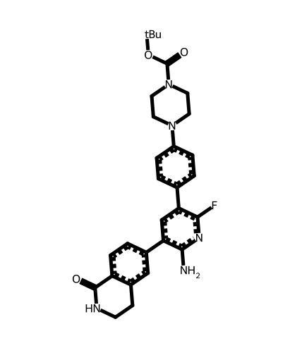 CC(C)(C)OC(=O)N1CCN(c2ccc(-c3cc(-c4ccc5c(c4)CCNC5=O)c(N)nc3F)cc2)CC1